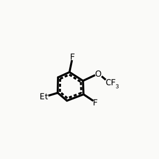 CCc1cc(F)c(OC(F)(F)F)c(F)c1